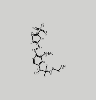 CCN(c1ccc(N=Nc2nnc(S(=O)(=O)CC)s2)c(NC(C)=O)c1)C(C)(C)OCCC#N